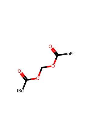 CCCC(=O)OCOC(=O)C(C)(C)C